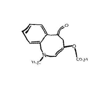 Cn1cc(OC(=O)O)c(=O)c2ccccc21